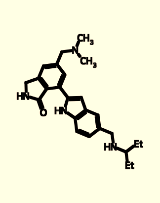 CCC(CC)NCc1ccc2[nH]c(-c3cc(CN(C)C)cc4c3C(=O)NC4)cc2c1